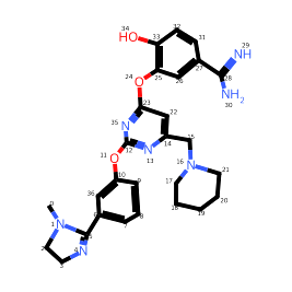 CN1CCN=C1c1cccc(Oc2nc(CN3CCCCC3)cc(Oc3cc(C(=N)N)ccc3O)n2)c1